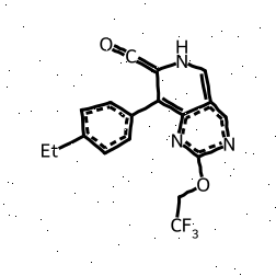 CCc1ccc(C2=c3nc(OCC(F)(F)F)ncc3=CNC2=C=O)cc1